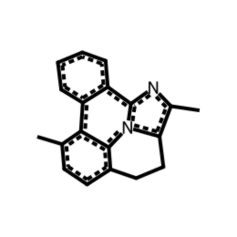 Cc1nc2c3ccccc3c3c(C)ccc4c3n2c1CC4